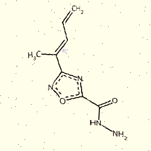 C=C/C=C(\C)c1noc(C(=O)NN)n1